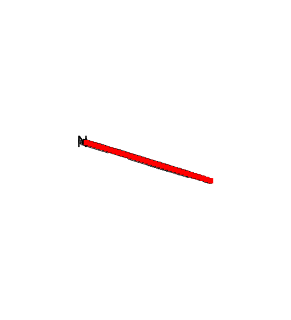 CC#CC#CC#CC#CC#CC#CC#CC#CC#CC#CC#CC#CC#CC#CC#CC#CC#CC#CC#CC#CC#CC#CC#CC#CC#CC#CC#CC#CC#CC#CC#CC#N